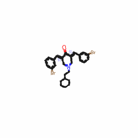 O=C1/C(=C/c2cccc(Br)c2)CN(CCC2CCCCC2)C/C1=C\c1cccc(Br)c1